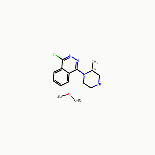 CC(C)(C)OC=O.C[C@H]1CNCCN1c1nnc(Cl)c2ccccc12